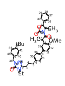 CCn1c(CCCc2ccc(-c3ccc(OC)c(C(C)C(=O)N4C(=O)O[C@@H](c5ccccc5)[C@H]4C)c3)cc2)nn(Cc2ccc(C(C)(C)C)cc2)c1=O